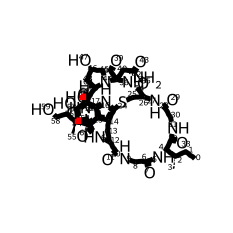 CC[C@H](C)[C@@H]1NC(=O)CNC(=O)C2Cc3c([nH]c4c(O)cccc34)SCC(NC(=O)CNC1=O)C(=O)NC(C=O)(CC(N)=O)N1C[C@H](O)C[C@H]1C(=O)N[C@@H]([C@@H](C)[C@@H](O)CO)C(=O)N2